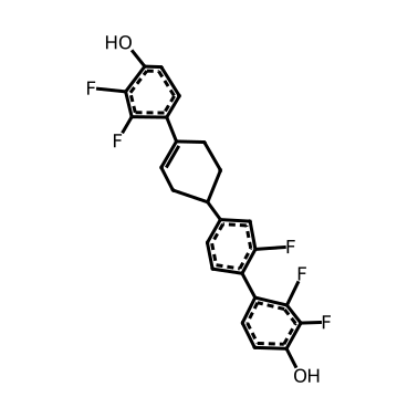 Oc1ccc(C2=CCC(c3ccc(-c4ccc(O)c(F)c4F)c(F)c3)CC2)c(F)c1F